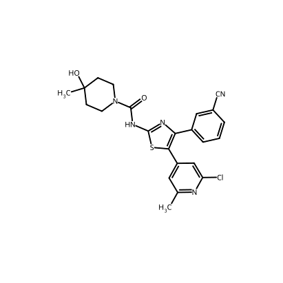 Cc1cc(-c2sc(NC(=O)N3CCC(C)(O)CC3)nc2-c2cccc(C#N)c2)cc(Cl)n1